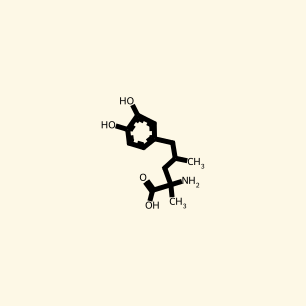 CC(Cc1ccc(O)c(O)c1)CC(C)(N)C(=O)O